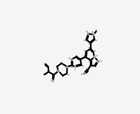 C=CC(C)C(=O)N1CCN(c2ncc(-c3cc(-c4cnn(C)c4)cn4ncc(C#N)c34)cn2)CC1